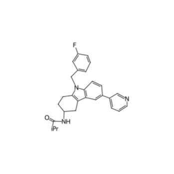 CC(C)C(=O)NC1CCc2c(c3cc(-c4cccnc4)ccc3n2Cc2cccc(F)c2)C1